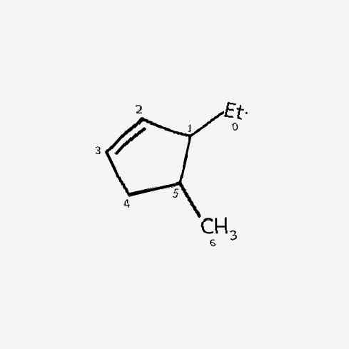 C[CH]C1C=CCC1C